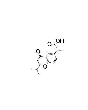 CC(C(=O)O)c1ccc2c(c1)C(=O)CC(C(C)C)O2